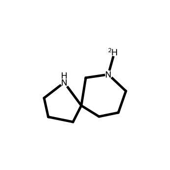 [2H]N1CCCC2(CCCN2)C1